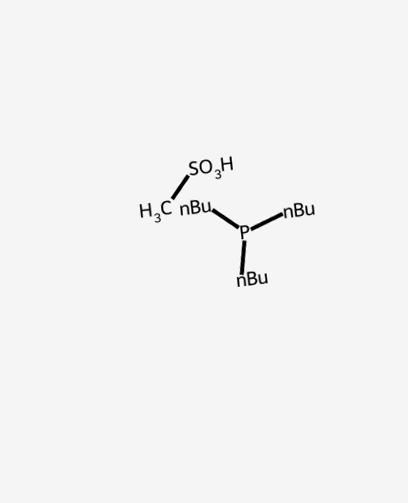 CCCCP(CCCC)CCCC.CS(=O)(=O)O